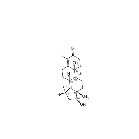 C[C@]12CCC(=O)C(F)=C1CC[C@@H]1[C@@H]2CC[C@]2(C)[C@@H](O)C[C@@H]3C[C@]312